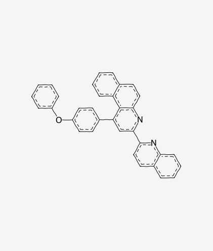 c1ccc(Oc2ccc(-c3cc(-c4ccc5ccccc5n4)nc4ccc5ccccc5c34)cc2)cc1